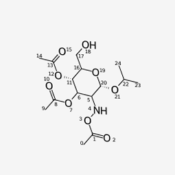 CC(=O)ONC1C(OC(C)=O)[C@H](OC(C)=O)C(CO)O[C@@H]1OC(C)C